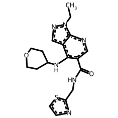 CCn1ncc2c(NC3CCOCC3)c(C(=O)NCc3nccs3)cnc21